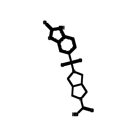 O=C(O)N1CC2CN(S(=O)(=O)c3ccc4[nH]c(=O)oc4c3)CC2C1